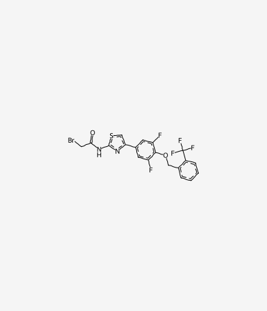 O=C(CBr)Nc1nc(-c2cc(F)c(OCc3ccccc3C(F)(F)F)c(F)c2)cs1